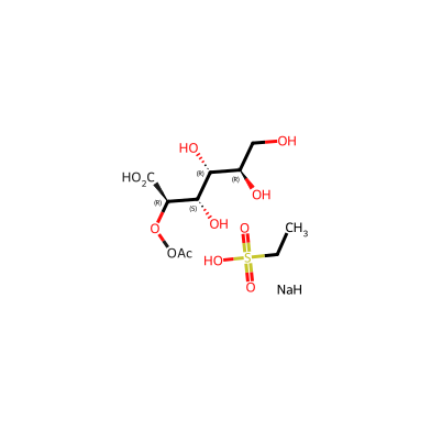 CC(=O)OO[C@@H](C(=O)O)[C@@H](O)[C@H](O)[C@H](O)CO.CCS(=O)(=O)O.[NaH]